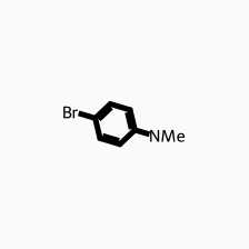 [CH2]Nc1ccc(Br)cc1